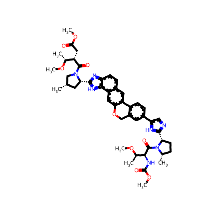 COC(=O)C[C@H](C(=O)N1C[C@@H](C)C[C@H]1c1nc2ccc3cc4c(cc3c2[nH]1)OCc1cc(-c2cnc([C@@H]3CC[C@H](C)N3C(=O)[C@@H](NC(=O)OC)[C@@H](C)OC)[nH]2)ccc1-4)[C@@H](C)OC